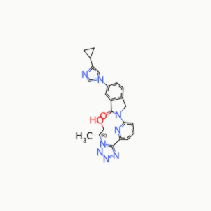 C[C@H](CO)n1nnnc1-c1cccc(N2Cc3ccc(-n4cnc(C5CC5)c4)cc3C2=O)n1